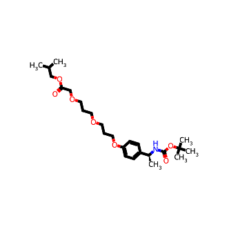 CC(C)COC(=O)COCCCOCCCOc1ccc([C@H](C)NC(=O)OC(C)(C)C)cc1